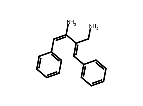 NCC(=C\c1ccccc1)/C(N)=C\c1ccccc1